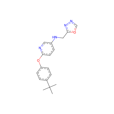 CC(C)(C)c1ccc(Oc2ccc(NCc3nnco3)cn2)cc1